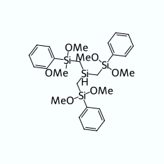 CO[Si](C[SiH](C[Si](OC)(OC)c1ccccc1)C[Si](OC)(OC)c1ccccc1)(OC)c1ccccc1